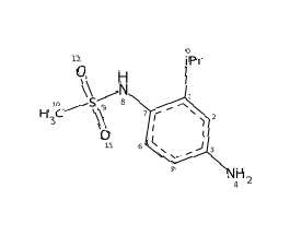 CC(C)c1cc(N)ccc1NS(C)(=O)=O